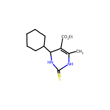 CCOC(=O)C1=C(C)NC(=S)NC1C1CCCCC1